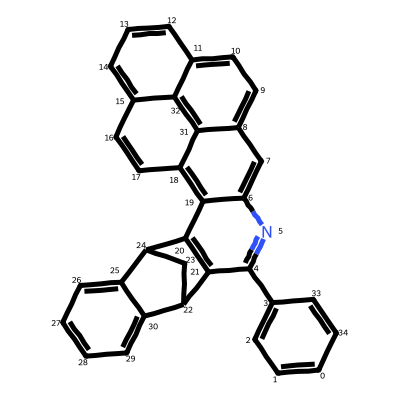 c1ccc(-c2nc3cc4ccc5cccc6ccc(c3c3c2C2CC3c3ccccc32)c4c56)cc1